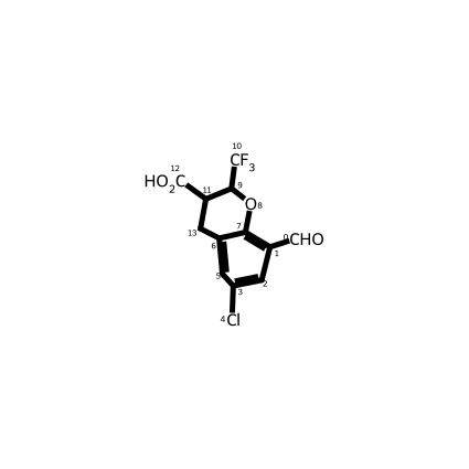 O=Cc1cc(Cl)cc2c1OC(C(F)(F)F)C(C(=O)O)C2